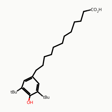 CC(C)(C)c1cc(CCCCCCCCCCCC(=O)O)cc(C(C)(C)C)c1O